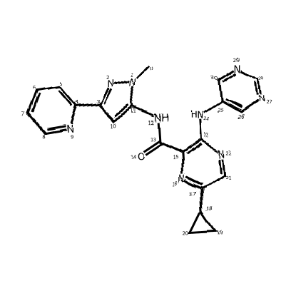 Cn1nc(-c2ccccn2)cc1NC(=O)c1nc(C2CC2)cnc1Nc1cncnc1